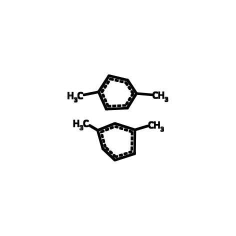 Cc1ccc(C)cc1.Cc1cccc(C)c1